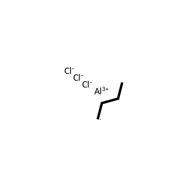 [Al+3].[CH2]CCC.[Cl-].[Cl-].[Cl-]